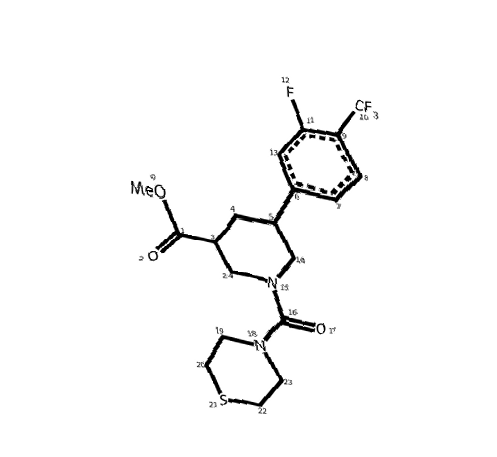 COC(=O)C1CC(c2ccc(C(F)(F)F)c(F)c2)CN(C(=O)N2CCSCC2)C1